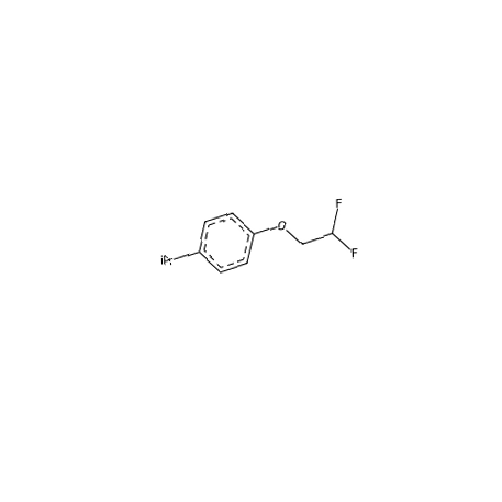 CC(C)c1ccc(OCC(F)F)cc1